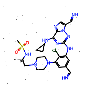 C[C@@H](CN1CCN(c2cc(C=N)cc(Nc3nc(NC4CC4)c4ncc(C=N)n4n3)c2Cl)CC1)NS(C)(=O)=O